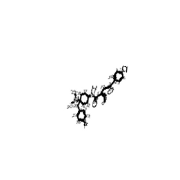 Cc1oc(-c2ccc(Cl)cc2)cc1C(=O)NC1CCC(Cc2ccc(F)cc2)(N(C)C)CC1